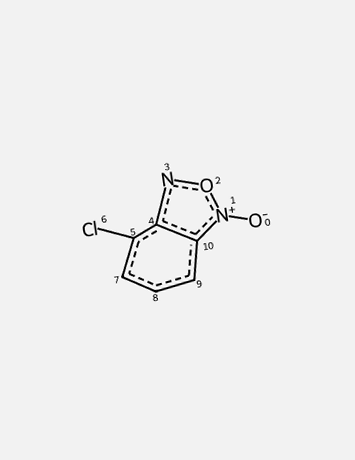 [O-][n+]1onc2c(Cl)cccc21